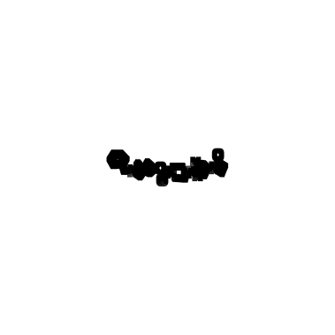 O=C(OC1CC2(C1)CN(Cc1ccccc1)C2)N1CCN(c2ncc(N3CCC3=O)cn2)CC1